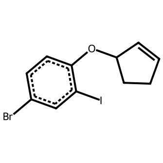 Brc1ccc(OC2C=CCC2)c(I)c1